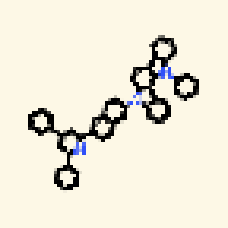 c1ccc(-c2cc(-c3ccccc3)nc(-c3ccc4cc(-n5c6ccccc6c6c5ccc5c7ccccc7n(-c7ccccc7)c56)ccc4c3)c2)cc1